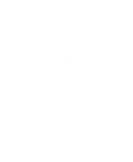 O=S1(=O)CCc2cccc(-c3ccc(-c4ccccc4)c(F)c3)c2N1